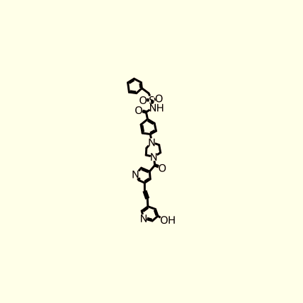 O=C(NS(=O)(=O)Cc1ccccc1)c1ccc(N2CCN(C(=O)c3cncc(C#Cc4cncc(O)c4)c3)CC2)cc1